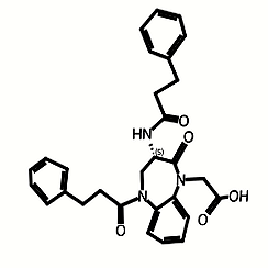 O=C(O)CN1C(=O)[C@@H](NC(=O)CCc2ccccc2)CN(C(=O)CCc2ccccc2)c2ccccc21